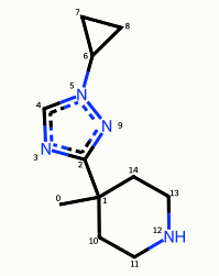 CC1(c2ncn(C3CC3)n2)CCNCC1